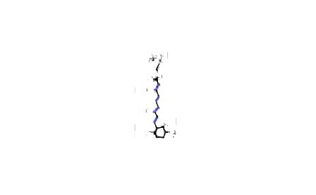 CCOC1CCC(C)(C)C(/C=C/C(C)=C/C=C/C(C)=C/C(=O)OCC[Si](C)(C)C)C1C